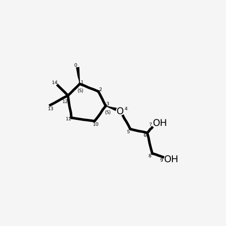 C[C@H]1C[C@@H](OCC(O)CO)CCC1(C)C